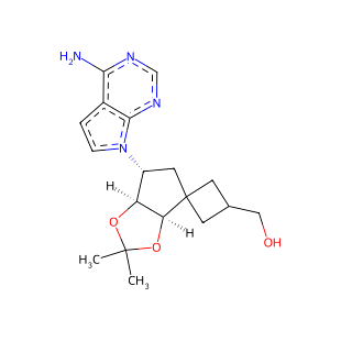 CC1(C)O[C@H]2[C@H](n3ccc4c(N)ncnc43)CC3(CC(CO)C3)[C@H]2O1